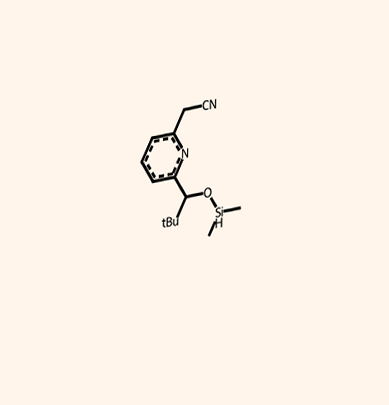 C[SiH](C)OC(c1cccc(CC#N)n1)C(C)(C)C